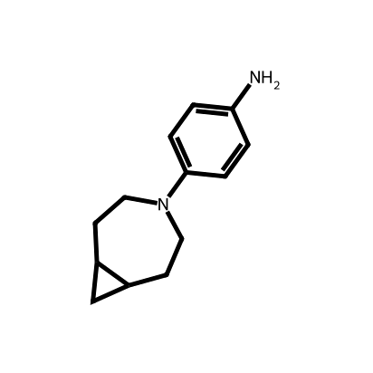 Nc1ccc(N2CCC3CC3CC2)cc1